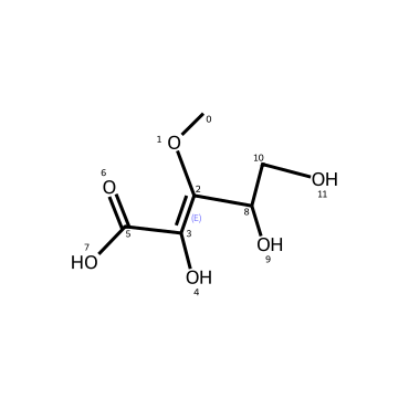 CO/C(=C(/O)C(=O)O)C(O)CO